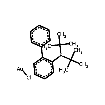 CC(C)(C)P(c1ccccc1-c1ccccc1)C(C)(C)C.[Cl][Au]